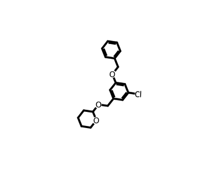 Clc1cc(COC2CCCCO2)cc(OCc2ccccc2)c1